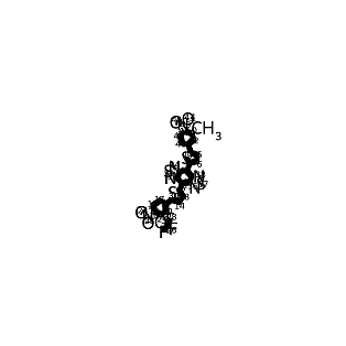 Cc1cc(-c2ccc(-c3c4c(c(-c5ccc(-c6ccc([N+](=O)[O-])c(OC(F)(F)F)c6)s5)c5nsnc35)N=S=N4)s2)ccc1[N+](=O)[O-]